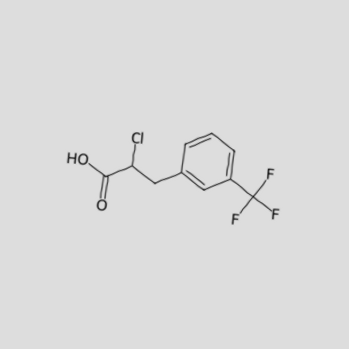 O=C(O)C(Cl)Cc1cccc(C(F)(F)F)c1